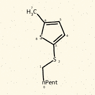 CCCCCCSc1ccc(C)s1